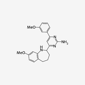 COc1cccc(-c2cc(C3CCCc4ccc(OC)cc4N3)nc(N)n2)c1